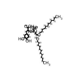 CCCCCCCCCCCCOC[C@H](COP(=O)(O)O)OCCCCCCCCCCCC.N[C@@H](Cc1ccc(O)c(O)c1)C(=O)O